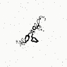 CCOC(=O)c1oc2ccc(S(=O)(=O)N(CCc3ccccc3)Cc3ccc(CC(=O)OC)cc3)cc2c1C